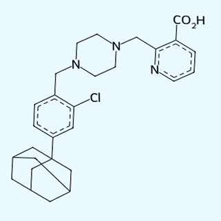 O=C(O)c1cccnc1CN1CCN(Cc2ccc(C34CC5CC(CC(C5)C3)C4)cc2Cl)CC1